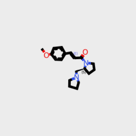 COc1ccc(/C=C/C(=O)N2CCC[C@H]2CN2CCCC2)cc1